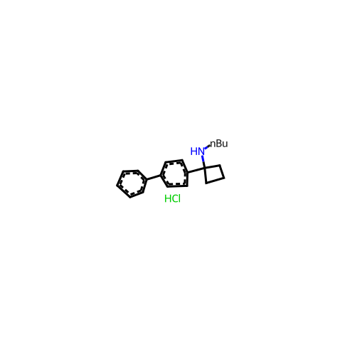 CCCCNC1(c2ccc(-c3ccccc3)cc2)CCC1.Cl